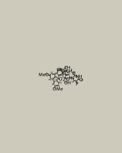 COc1ccc(C(OC[C@]2(CO)O[C@@H](n3cc(F)c(=O)[nH]c3=O)C[C@@H]2O[Si](C)(C)C(C)(C)C)(c2ccccc2)c2ccc(OC)cc2)cc1